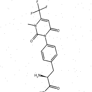 Cn1c(C(F)(F)F)cc(=O)n(-c2ccc(C[C@H](N)C(=O)O)cc2)c1=O